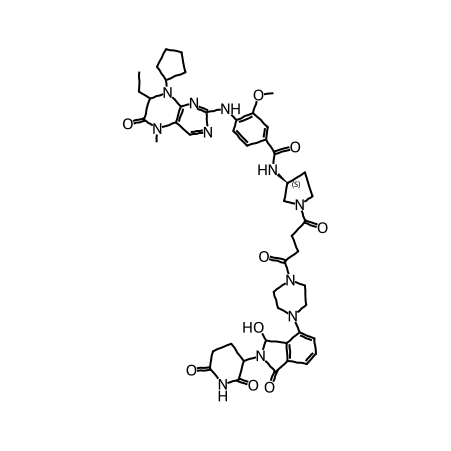 CCC1C(=O)N(C)c2cnc(Nc3ccc(C(=O)N[C@H]4CCN(C(=O)CCC(=O)N5CCN(c6cccc7c6C(O)N(C6CCC(=O)NC6=O)C7=O)CC5)C4)cc3OC)nc2N1C1CCCC1